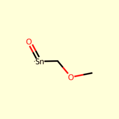 CO[CH2][Sn]=[O]